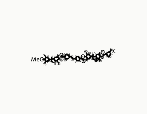 COc1c(C)cc(C(C)(CC(C)C)c2cc(C)c(OC(=O)c3ccc(C=Cc4ccc(C(=O)Oc5c(C)cc(C(C)(CC(C)C)c6cc(C)c(OC(=O)c7cccc(C(C)=O)c7)c(C)c6)cc5C)cc4)cc3)c(C)c2)cc1C